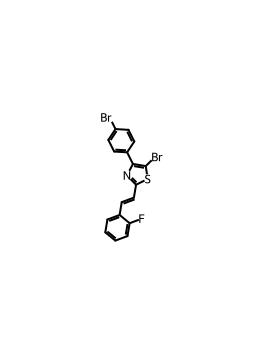 Fc1ccccc1/C=C/c1nc(-c2ccc(Br)cc2)c(Br)s1